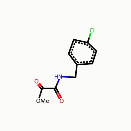 COC(=O)C(=O)NCc1ccc(Cl)cc1